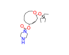 CC[Si](CC)(CC)OC1CC=CC(OC(=O)N2CCNCC2)CCCCCCO1